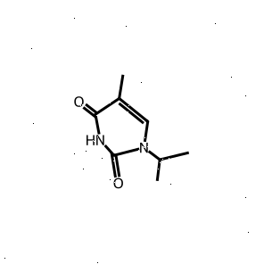 Cc1cn(C(C)C)c(=O)[nH]c1=O